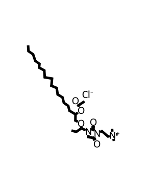 CCCCCCCCCCCCCCCCC(COC(CC)N1CC(=O)N(CC[N+](C)(C)C)C1=O)OC(C)=O.[Cl-]